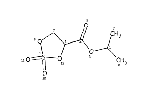 CC(C)OC(=O)C1COS(=O)(=O)O1